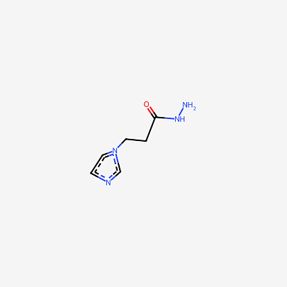 NNC(=O)CCn1ccnc1